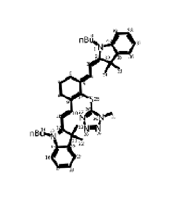 CCCCN1/C(=C/C=C2\CCCC(/C=C/C3=[N+](CCCC)c4ccccc4C3(C)C)=C2Sc2nnnn2C)C(C)(C)c2ccccc21